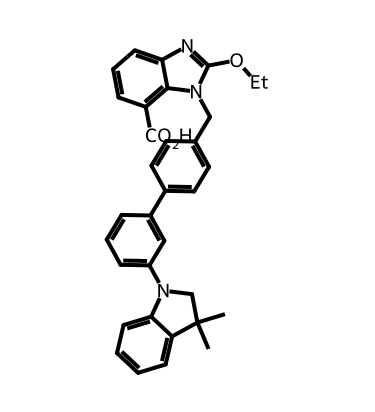 CCOc1nc2cccc(C(=O)O)c2n1Cc1ccc(-c2cccc(N3CC(C)(C)c4ccccc43)c2)cc1